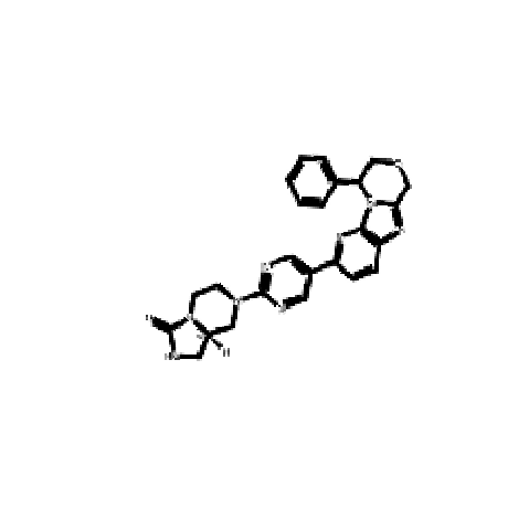 O=C1NC[C@H]2CN(c3ncc(-c4ccc5nc6n(c5n4)C(c4ccccc4)COC6)cn3)CCN12